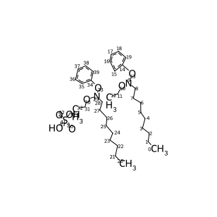 CCCCCCCCCN(OCC)Oc1ccccc1.CCCCCCCCCN(OCC)Oc1ccccc1.O=S(=O)(O)O